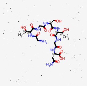 C[C@@H](O)[C@H](NC(=O)CN)C(=O)NCC(=O)N[C@@H](CO)C(=O)N[C@H](C(=O)NCC(=O)N[C@@H](CC(N)=O)C(=O)O)[C@@H](C)O